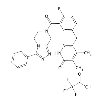 Cc1c(Cc2ccc(F)c(C(=O)N3CCn4c(nnc4-c4ccccc4)C3)c2)n[nH]c(=O)c1C.O=C(O)C(F)(F)F